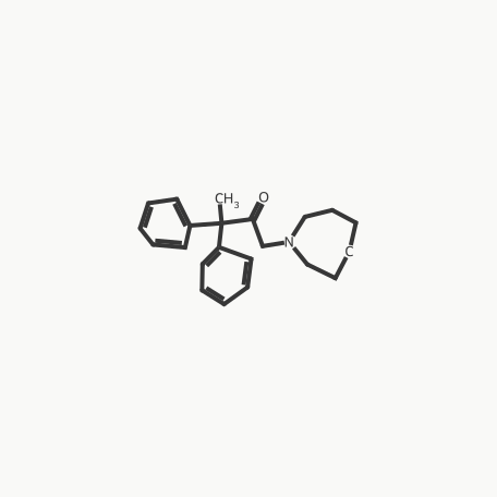 CC(C(=O)CN1CCCCCC1)(c1ccccc1)c1ccccc1